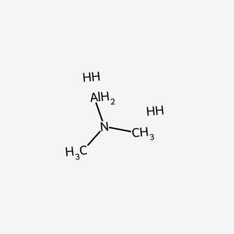 C[N](C)[AlH2].[HH].[HH]